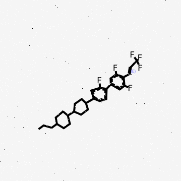 CCCC1CCC(C2CCC(c3ccc(-c4cc(F)c(/C=C/C(F)(F)F)c(F)c4)c(F)c3)CC2)CC1